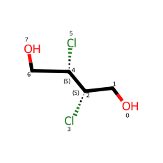 OC[C@H](Cl)[C@@H](Cl)CO